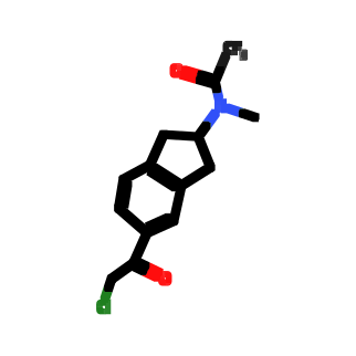 CN(C(=O)C(F)(F)F)C1Cc2ccc(C(=O)CCl)cc2C1